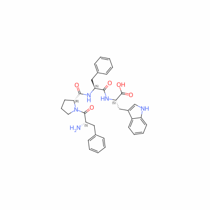 N[C@@H](Cc1ccccc1)C(=O)N1CCC[C@@H]1C(=O)N[C@@H](Cc1ccccc1)C(=O)N[C@@H](Cc1c[nH]c2ccccc12)C(=O)O